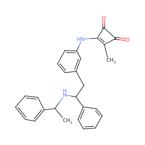 Cc1c(Nc2cccc(CC(NC(C)c3ccccc3)c3ccccc3)c2)c(=O)c1=O